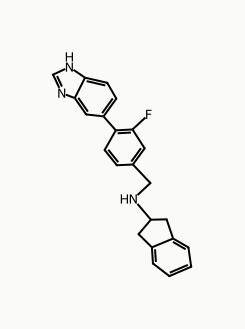 Fc1cc(CNC2Cc3ccccc3C2)ccc1-c1ccc2[nH]cnc2c1